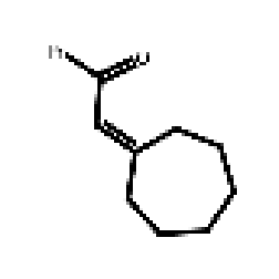 CC(C)C(=O)C=C1CCCCCC1